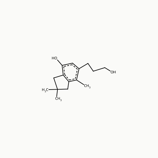 Cc1c(CCCO)cc(O)c2c1CC(C)(C)C2